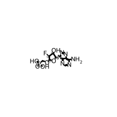 Nc1ncnc2c1nnn2[C@@H]1O[C@H](OCP(=O)(O)O)[C@@H](F)[C@H]1O